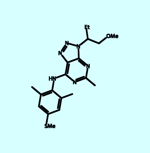 CCC(COC)n1nnc2c(Nc3c(C)cc(SC)cc3C)nc(C)nc21